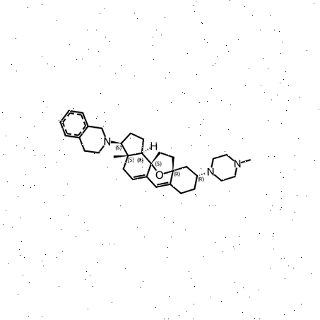 CN1CCN([C@@H]2CCC3=CC4=CC[C@]5(C)[C@@H](N6CCc7ccccc7C6)CC[C@H]5[C@@]45CC[C@]3(C2)O5)CC1